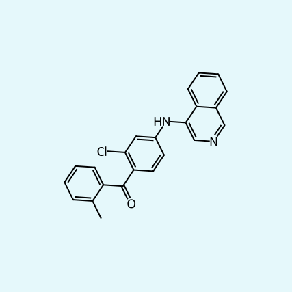 Cc1ccccc1C(=O)c1ccc(Nc2cncc3ccccc23)cc1Cl